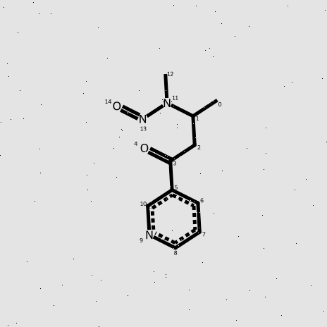 CC(CC(=O)c1cccnc1)N(C)N=O